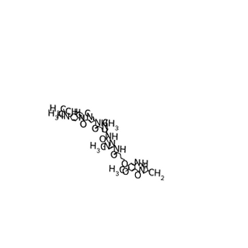 C=C1C[C@H]2C=Nc3cc(OCCCC(=O)Nc4cn(C)c(C(=O)Nc5cc(C(=O)Nc6cc(C(=O)N7CCc8cc(NC(C)(C)C)ccc87)n(C)c6)n(C)c5)n4)c(OC)cc3C(=O)N2C1